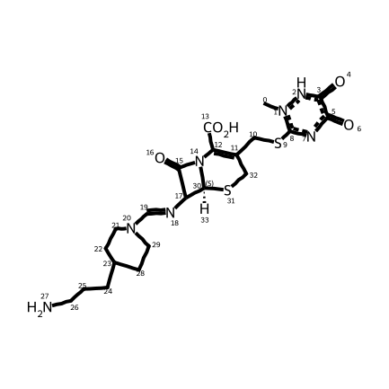 Cn1[nH]c(=O)c(=O)nc1SCC1=C(C(=O)O)N2C(=O)C(N=CN3CCC(CCCN)CC3)[C@@H]2SC1